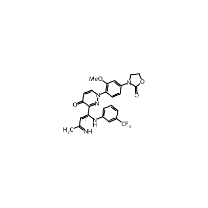 COc1cc(N2CCOC2=O)ccc1-n1ccc(=O)c(/C(=C/C(C)=N)Nc2cccc(C(F)(F)F)c2)n1